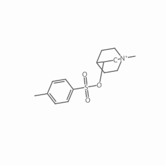 Cc1ccc(S(=O)(=O)OC2C[N+]3(C)CCC2CC3)cc1